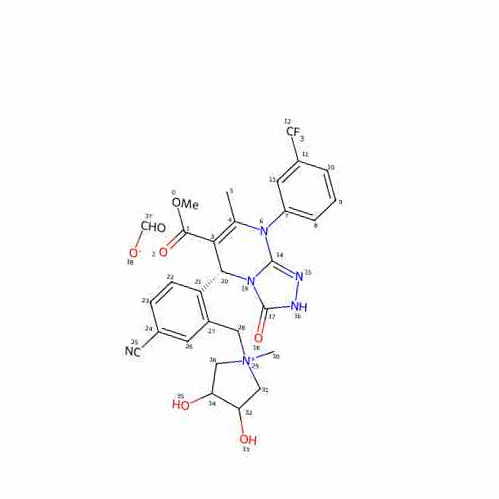 COC(=O)C1=C(C)N(c2cccc(C(F)(F)F)c2)c2n[nH]c(=O)n2[C@@H]1c1ccc(C#N)cc1C[N+]1(C)CC(O)C(O)C1.O=C[O-]